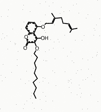 CCCCCCCCCCOc1c(O)c2c(OC/C=C(\C)CCC=C(C)C)cccc2oc1=O